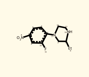 CCC1CN(c2ccc([N+](=O)[O-])cc2F)CCN1